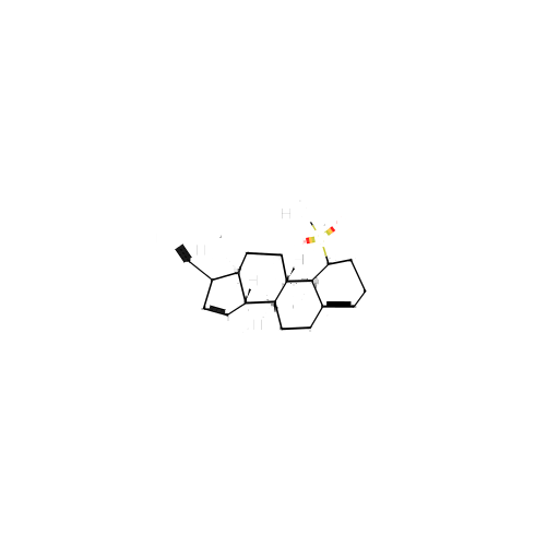 C#CC1C=C[C@H]2[C@@H]3CCC4=CCCC(S(C)(=O)=O)[C@]4(C)[C@H]3CC[C@]12C